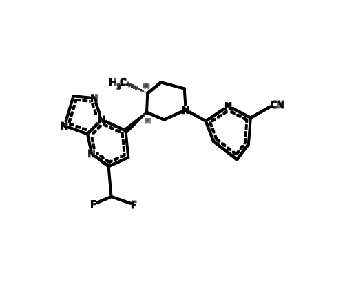 C[C@@H]1CCN(c2cccc(C#N)n2)C[C@H]1c1cc(C(F)F)nc2ncnn12